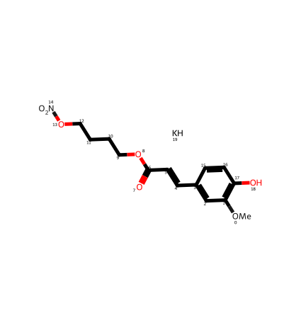 COc1cc(/C=C/C(=O)OCCCCO[N+](=O)[O-])ccc1O.[KH]